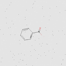 O=C(O)c1c[c]ccc1